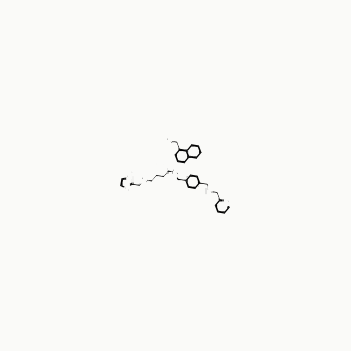 Cn1ccnc1CNCCC[C@H](NC(=O)c1ccc(CNCc2ccccn2)cc1)C(=O)O.NCc1cccc2ccccc12